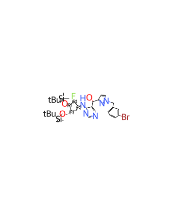 CC(C)(C)[Si](C)(C)OC[C@H]1C[C@@H](Nc2ncncc2C(=O)c2ccn(Cc3cccc(Br)c3)n2)[C@@H](F)[C@@H]1O[Si](C)(C)C(C)(C)C